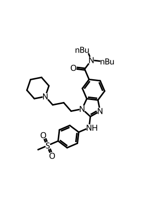 CCCCN(CCCC)C(=O)c1ccc2nc(Nc3ccc(S(C)(=O)=O)cc3)n(CCCN3CCCCC3)c2c1